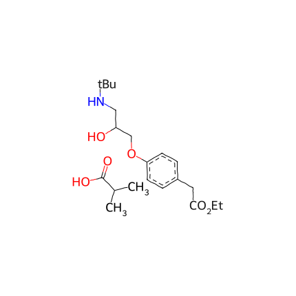 CC(C)C(=O)O.CCOC(=O)Cc1ccc(OCC(O)CNC(C)(C)C)cc1